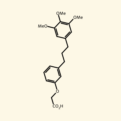 COc1cc(CCCc2cccc(OCC(=O)O)c2)cc(OC)c1OC